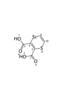 O=C(O)C1=C(C(=O)O)SC=CS1